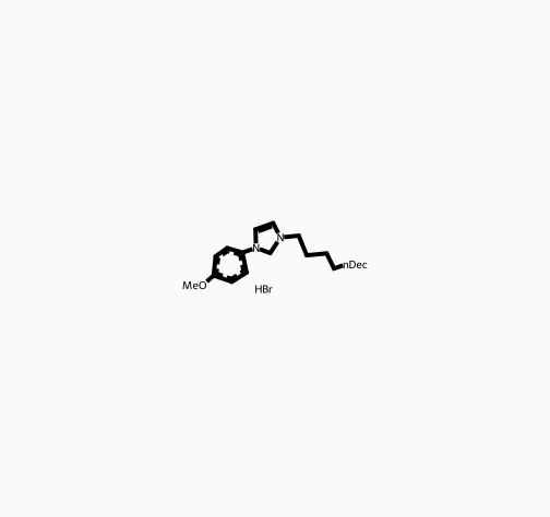 Br.CCCCCCCCCCCCCCN1C=CN(c2ccc(OC)cc2)C1